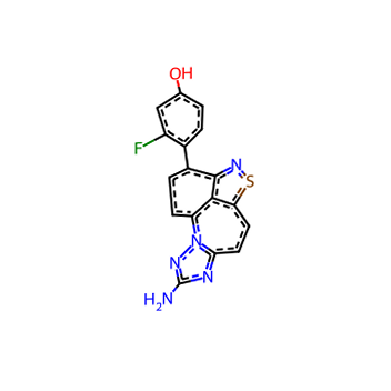 Nc1nc2ccc3snc4c(-c5ccc(O)cc5F)ccc(c34)n2n1